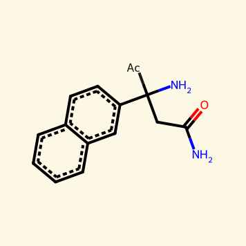 CC(=O)C(N)(CC(N)=O)c1ccc2ccccc2c1